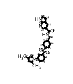 Cc1cc(C)n(-c2cccc(S(=O)(=O)c3ccc(CNC(=O)c4cnc5[nH]ncc5c4)cc3)c2)n1